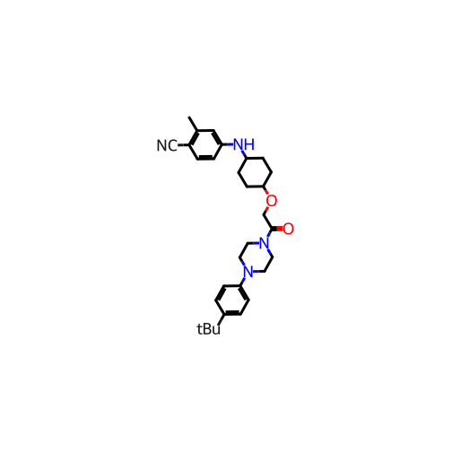 Cc1cc(NC2CCC(OCC(=O)N3CCN(c4ccc(C(C)(C)C)cc4)CC3)CC2)ccc1C#N